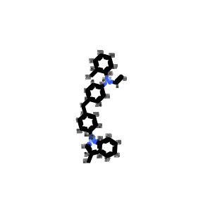 C=CN(c1ccc(Cc2ccc(-n3cc(C)c4ccccc43)cc2)cc1)c1ccccc1C